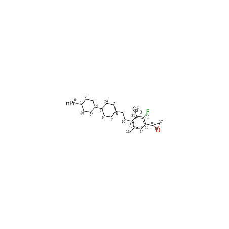 CCCC1CCC(C2CCC(CCc3c(C)cc(C4CO4)c(F)c3C(F)(F)F)CC2)CC1